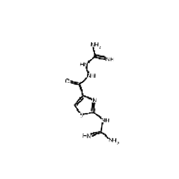 N=C(N)NNC(=O)c1csc(NC(=N)N)n1